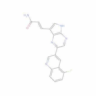 NC(=O)/C=C/c1c[nH]c2ncc(-c3cnc4cccc(F)c4c3)nc12